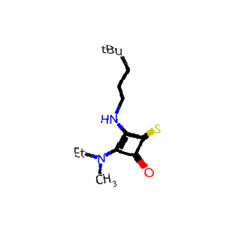 CCN(C)c1c(NCCCC(C)(C)C)c(=S)c1=O